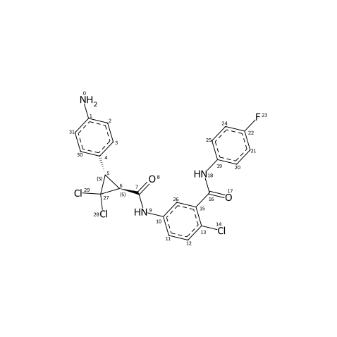 Nc1ccc([C@@H]2[C@@H](C(=O)Nc3ccc(Cl)c(C(=O)Nc4ccc(F)cc4)c3)C2(Cl)Cl)cc1